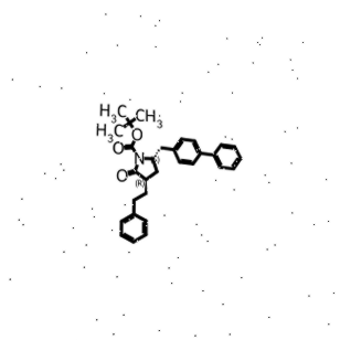 CC(C)(C)OC(=O)N1C(=O)[C@H](CCc2ccccc2)C[C@H]1Cc1ccc(-c2ccccc2)cc1